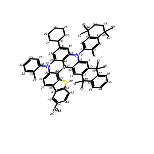 Cc1cc2c(cc1N1c3cc4c(cc3B3c5c1cc(C1CCCCC1)cc5N(c1ccccc1C)c1ccc5c(sc6ccc(C(C)(C)C)cc65)c13)C(C)(C)c1ccccc1C4(C)C)C(C)(C)CCC2(C)C